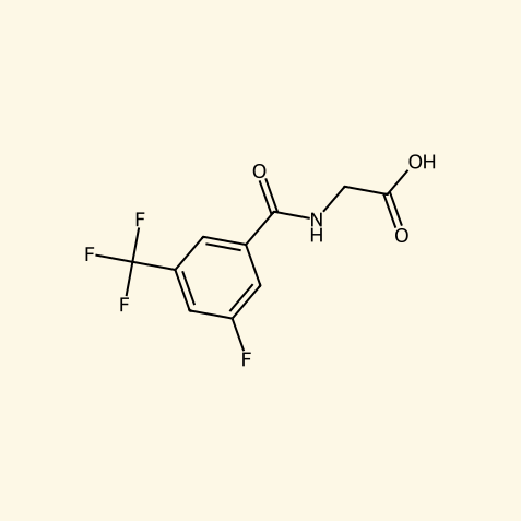 O=C(O)CNC(=O)c1cc(F)cc(C(F)(F)F)c1